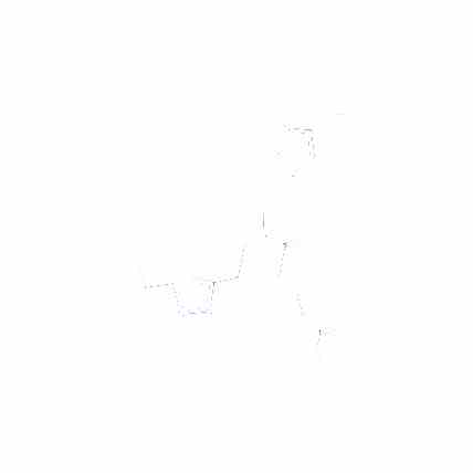 CSc1nnc(CCN(CCc2nnc(C(C)C)o2)C(=O)CCCC(=O)O)o1